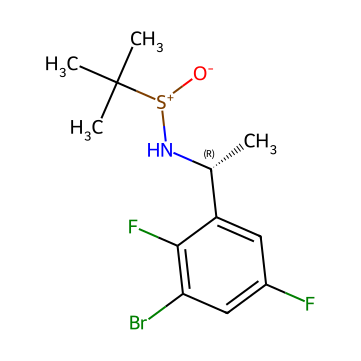 C[C@@H](N[S+]([O-])C(C)(C)C)c1cc(F)cc(Br)c1F